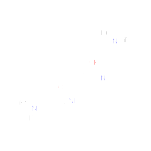 CCN(c1ccc(/N=C2/C=C(Nc3ccc(N(CC)C(C)C)cc3)C(=O)C=C2O)cc1)C(C)C